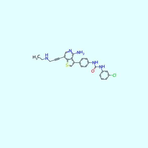 CCNCC#Cc1cnc(N)c2c(-c3ccc(NC(=O)Nc4cccc(Cl)c4)cc3)csc12